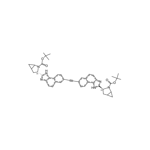 CC(C)(C)OC(=O)N1C2CC2C[C@H]1c1nc2ccc3cc(C#Cc4ccc5c(ccc6nc([C@@H]7CC8CC8N7C(=O)OC(C)(C)C)[nH]c65)c4)ccc3c2[nH]1